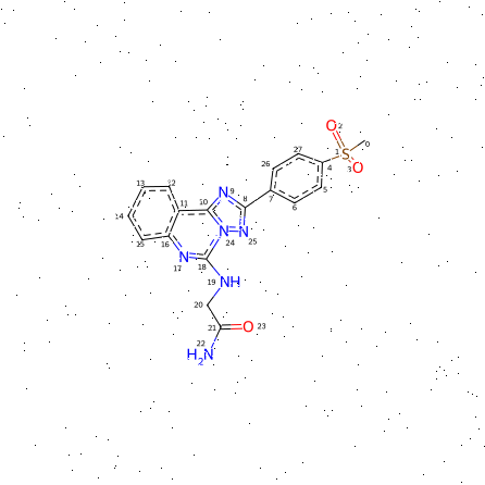 CS(=O)(=O)c1ccc(-c2nc3c4ccccc4nc(NCC(N)=O)n3n2)cc1